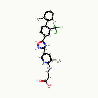 Cc1ccccc1-c1ccc(-c2nc(-c3cnc(NCCC(=O)O)c(C)c3)no2)cc1C(F)(F)F